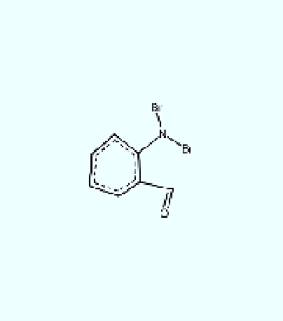 O=Cc1ccccc1N(Br)Br